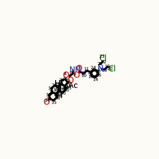 CC(=O)[C@@]1(OC(=O)[C@@H](N)OC(=O)CCc2cccc(N(CCCl)CCCl)c2)CC[C@H]2[C@@H]3CCC4=CC(=O)CC[C@]4(C)[C@H]3CC[C@@]21C